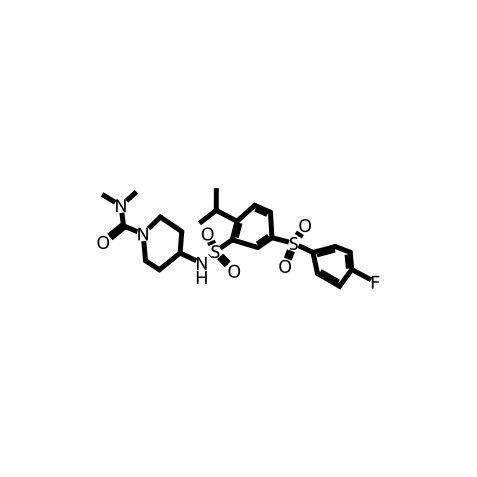 CC(C)c1ccc(S(=O)(=O)c2ccc(F)cc2)cc1S(=O)(=O)NC1CCN(C(=O)N(C)C)CC1